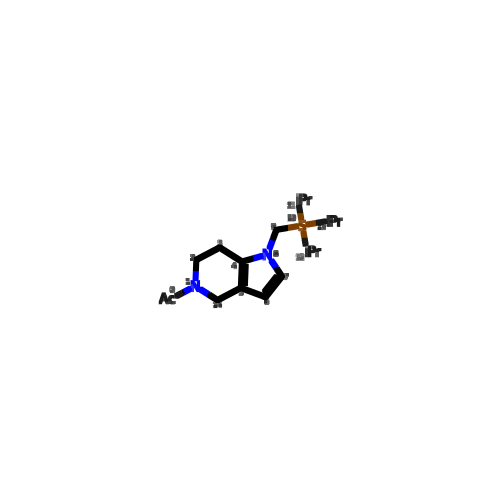 CC(=O)N1CCc2c(ccn2CS(C(C)C)(C(C)C)C(C)C)C1